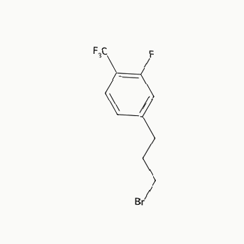 Fc1cc(CCCBr)ccc1C(F)(F)F